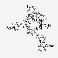 COc1ccccc1-c1nccc(COc2ccc3cc2C[C@H](C(=O)O)Oc2ncnc4sc(-c5ccc(F)cc5)c(c24)-c2ccc(c(Cl)c2C)CN(CCN2CCN(CC(F)(F)F)CC2)C3)n1